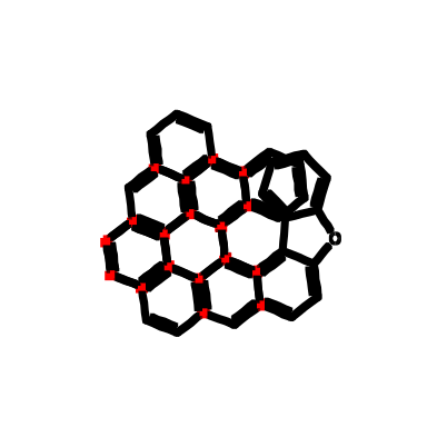 c1ccc(-c2ccccc2N(c2ccccc2-c2ccccc2)c2ccccc2-c2ccccc2N(c2ccccc2-c2ccccc2)c2cccc3oc4ccccc4c23)cc1